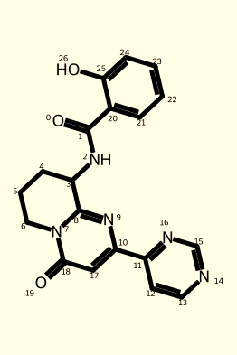 O=C(NC1CCCn2c1nc(-c1ccncn1)cc2=O)c1ccccc1O